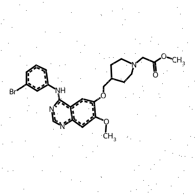 COC(=O)CN1CCC(COc2cc3c(Nc4cccc(Br)c4)ncnc3cc2OC)CC1